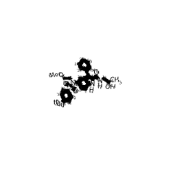 COCCN(c1ccc2[nH]c(C(=O)NCC(C)O)c(-c3ccccc3)c2c1)S(=O)(=O)c1ccc(C(C)(C)C)cc1